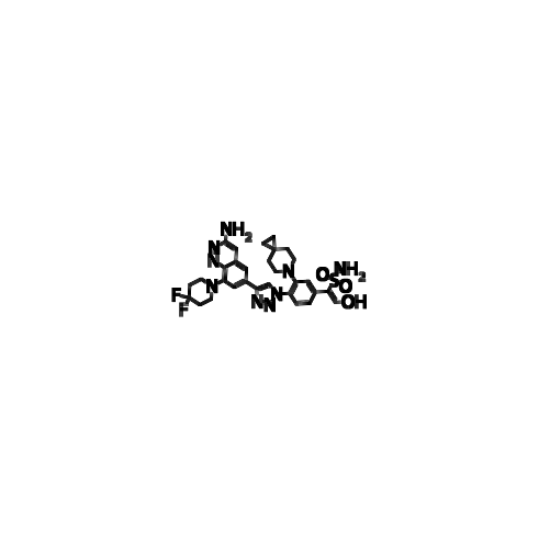 Nc1cc2cc(-c3cn(-c4ccc(C(=CO)S(N)(=O)=O)cc4N4CCC5(CC4)CC5)nn3)cc(N3CCC(F)(F)CC3)c2nn1